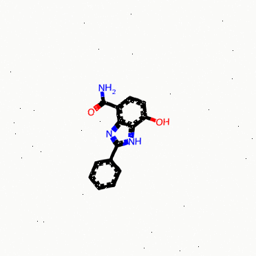 NC(=O)c1ccc(O)c2[nH]c(-c3ccccc3)nc12